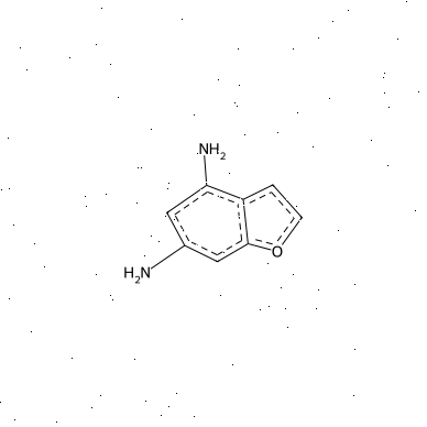 Nc1cc(N)c2ccoc2c1